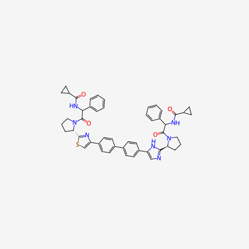 O=C(NC(C(=O)N1CCC[C@H]1c1ncc(-c2ccc(-c3ccc(-c4csc([C@@H]5CCCN5C(=O)C(NC(=O)C5CC5)c5ccccc5)n4)cc3)cc2)[nH]1)c1ccccc1)C1CC1